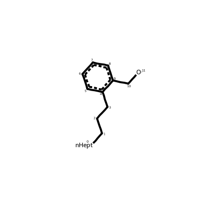 CCCCCCCCCCc1ccccc1C[O]